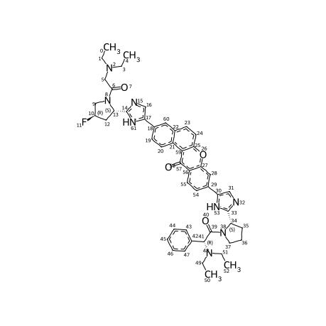 CCN(CC)CC(=O)N1C[C@H](F)C[C@H]1c1ncc(-c2ccc3c(ccc4oc5cc(-c6cnc([C@@H]7CCCN7C(=O)[C@@H](c7ccccc7)N(CC)CC)[nH]6)ccc5c(=O)c43)c2)[nH]1